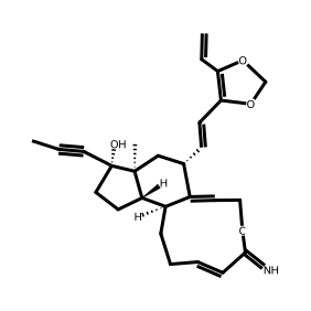 C=CC1=C(/C=C/[C@H]2C[C@@]3(C)[C@@H](CC[C@@]3(O)C#CC)[C@@H]3CC/C=C/C(=N)CC/C=C/32)OCO1